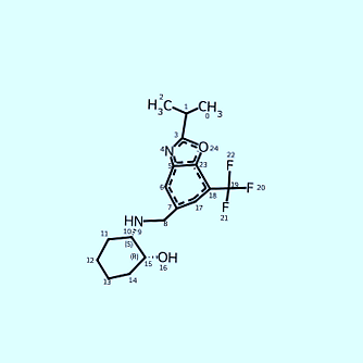 CC(C)c1nc2cc(CN[C@H]3CCCC[C@H]3O)cc(C(F)(F)F)c2o1